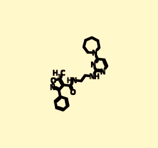 Cc1onc(-c2ccccc2)c1C(=O)NCCNc1nccc(N2CCCCCC2)n1